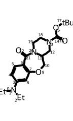 CCN(CC)c1ccc2c(c1)OCC1CN(C(=O)OC(C)(C)C)CCN1C2=O